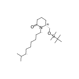 CC(C)[CH]CCCCC[CH]N1C(=O)CCC[C@@H]1CO[Si](C)(C)C(C)(C)C